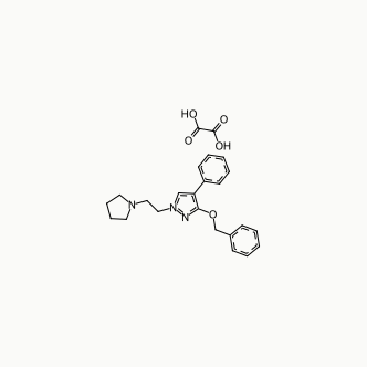 O=C(O)C(=O)O.c1ccc(COc2nn(CCN3CCCC3)cc2-c2ccccc2)cc1